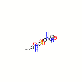 CCCCc1ccc(C(=O)Nc2ccc(S(=O)(=O)c3ccc(Nc4cc(C)nc5c(OC)cccc45)cc3)cc2)cc1